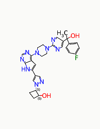 CC(O)(c1ccc(F)cc1)c1cnc(N2CCN(c3ncnc4[nH]c(-c5cnn([C@H]6CC[C@@H]6O)c5)cc34)CC2)nc1